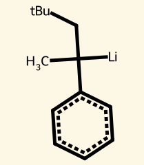 [Li][C](C)(CC(C)(C)C)c1ccccc1